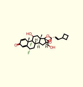 C[C@]12C=CC(=O)C=C1[C@@H](F)C[C@H]1[C@@H]3C[C@H]4O[C@@H](/C=C/C5CCC5)O[C@@]4(C(=O)CO)[C@@]3(C)C[C@H](O)[C@@]12F